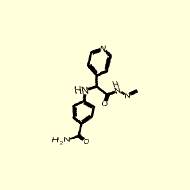 C=NNC(=O)C(Nc1ccc(C(N)=O)cc1)c1ccncc1